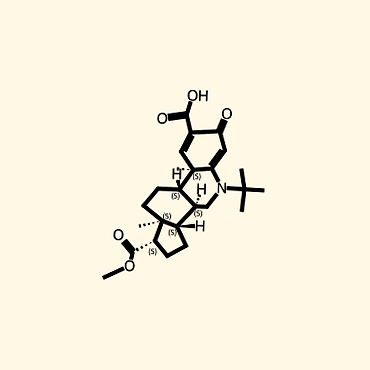 COC(=O)[C@H]1CC[C@H]2[C@@H]3CN(C(C)(C)C)C4=CC(=O)C(C(=O)O)=C[C@]4(C)[C@H]3CC[C@]12C